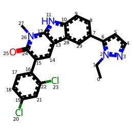 CCn1nccc1-c1ccc2[nH]c3c(cc(-c4ccc(Cl)cc4Cl)c(=O)n3C)c2c1